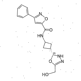 O=C(NC1CC([C@@H]2NN=C(CO)O2)C1)c1cc(-c2ccccc2)no1